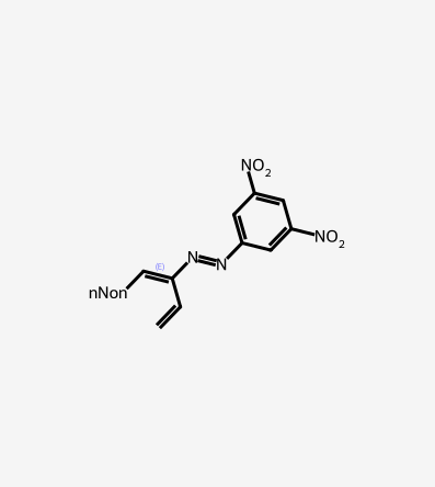 C=C/C(=C\CCCCCCCCC)N=Nc1cc([N+](=O)[O-])cc([N+](=O)[O-])c1